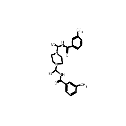 CCC(NC(=O)c1cccc(C)c1)N1CCN(C(CC)NC(=O)c2cccc(C)c2)CC1